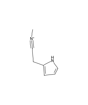 C[N+]#CCc1ccc[nH]1